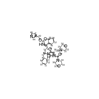 O=C(N[C@H](CC[C@H](Cc1ccccc1)NC(=O)[C@H](CCN1CCOCC1)NC(=O)N1CCOCC1)c1ccccc1)OCc1cncs1